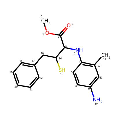 COC(=O)C(Nc1ccc(N)cc1C)C(S)Cc1ccccc1